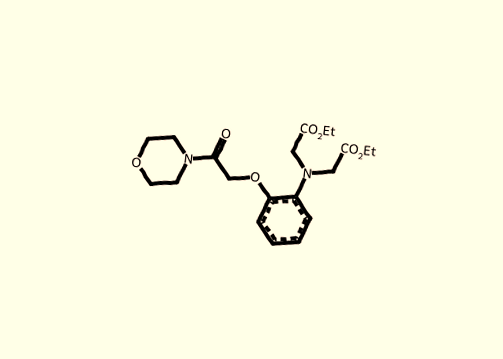 CCOC(=O)CN(CC(=O)OCC)c1ccccc1OCC(=O)N1CCOCC1